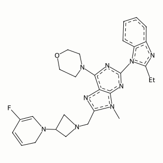 CCc1nc2ccccc2n1-c1nc(N2CCOCC2)c2nc(CN3CC(N4C=C(F)C=CC4)C3)n(C)c2n1